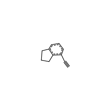 C#Cc1cccc2c1CCC2